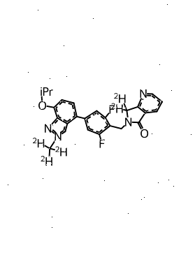 [2H]C1([2H])c2ncccc2C(=O)N1Cc1c(F)cc(-c2ccc(OC(C)C)c3nn(C([2H])([2H])[2H])cc23)cc1F